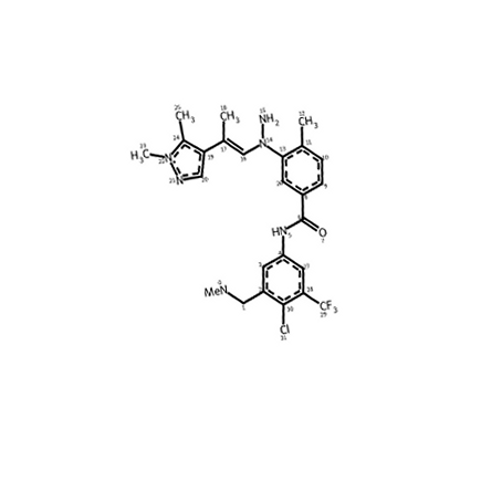 CNCc1cc(NC(=O)c2ccc(C)c(N(N)/C=C(\C)c3cnn(C)c3C)c2)cc(C(F)(F)F)c1Cl